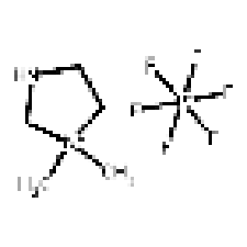 C[N+]1(C)CCNC1.F[P-](F)(F)(F)(F)F